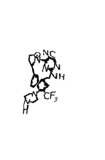 N#Cc1cnc(Nc2ccc(N3CCNCC3)c(C(F)(F)F)c2)nc1N1OCCC1c1ccccc1